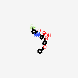 O=C(O)[C@H]1[C@H](Cn2nnc3ccc(C(F)(F)F)cc3c2=O)CC[C@@H]1C(=O)c1ccc(OCCC2CCCCC2)cc1